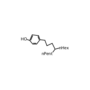 CCCCCCC(CCCCC)CCCc1ccc(O)cc1